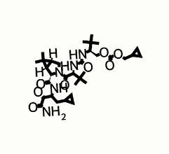 CC(C)(C)[C@H](NC(=O)N[C@H](COC(=O)OCC1CC1)C(C)(C)C)C(=O)N1C[C@H]2[C@@H]([C@H]1C(=O)NC(CC1CC1)C(=O)C(N)=O)C2(C)C